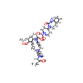 Cc1cc(C[C@@H](OC(=O)N2CCC(N3CCc4ccccc4NC3=O)CC2)C(=O)N=C=C=CN=C=C=NCC(=O)C(F)(F)F)cc(C)c1O